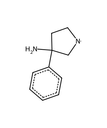 NC1(c2ccccc2)CC[N]C1